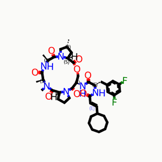 C[C@@H]1C[C@H]2C(=O)OC[C@H](NC(=O)[C@H](Cc3cc(F)cc(F)c3)NC(=O)/C=C/C3CCCCCCC3)C(=O)N3CCC[C@H]3C(=O)N(C)[C@@H](C)C(=O)N[C@@H](C)C(=O)N2C1